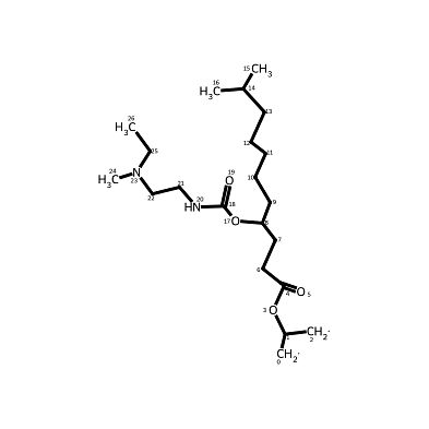 [CH2]C([CH2])OC(=O)CCC(CCCCCC(C)C)OC(=O)NCCN(C)CC